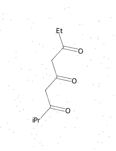 CCC(=O)CC(=O)CC(=O)C(C)C